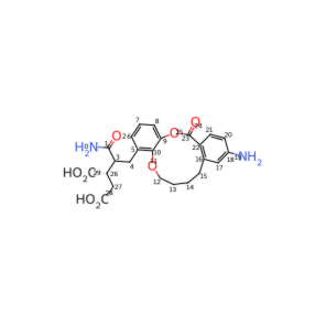 NC(=O)C(Cc1cccc2c1OCCCCc1cc(N)ccc1C(=O)O2)[C@H](CC(=O)O)C(=O)O